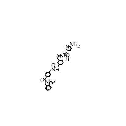 CCOc1ccccc1CNC(=O)c1ccc(CNC(=O)Cc2cccc(C[C@@H](C)NC[C@@H](O)c3ccc(N)nc3)c2)cc1